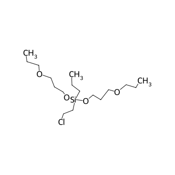 CCCOCCCO[Si](CCC)(CCCl)OCCCOCCC